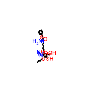 CCCCO[C@@H]1C(N=[N+]=[N-])[C@@H](OCCCCCN(N)C(=O)OCc2ccccc2)OC(CO)[C@H]1O